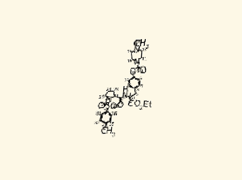 CCOC(=O)[C@H](Cc1ccc(OC(=O)N2CCN(C)CC2)cc1)NC(=O)[C@@H]1CCCN1S(=O)(=O)c1ccc(C)cc1